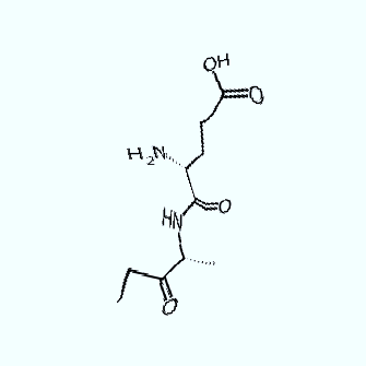 CCC(=O)[C@@H](C)NC(=O)[C@H](N)CCC(=O)O